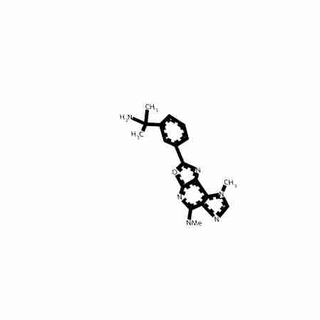 CNc1nc2oc(-c3cccc(C(C)(C)N)c3)nc2c2c1ncn2C